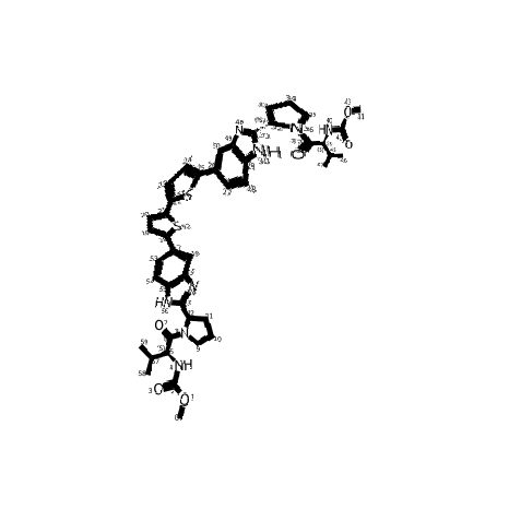 COC(=O)N[C@H](C(=O)N1CCCC1c1nc2cc(-c3ccc(-c4ccc(-c5ccc6[nH]c([C@@H]7CCCN7C(=O)[C@@H](NC(=O)OC)C(C)C)nc6c5)s4)s3)ccc2[nH]1)C(C)C